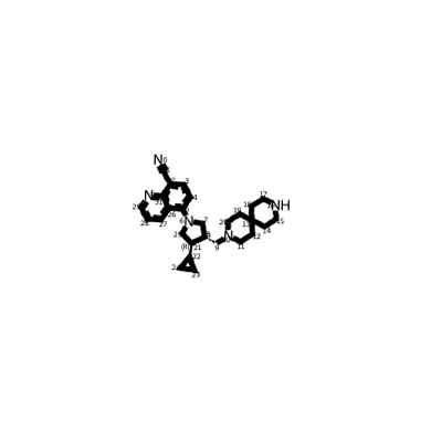 N#Cc1ccc(N2C[C@H](CN3CCC4(CCNCC4)CC3)[C@@H](C3CC3)C2)c2cccnc12